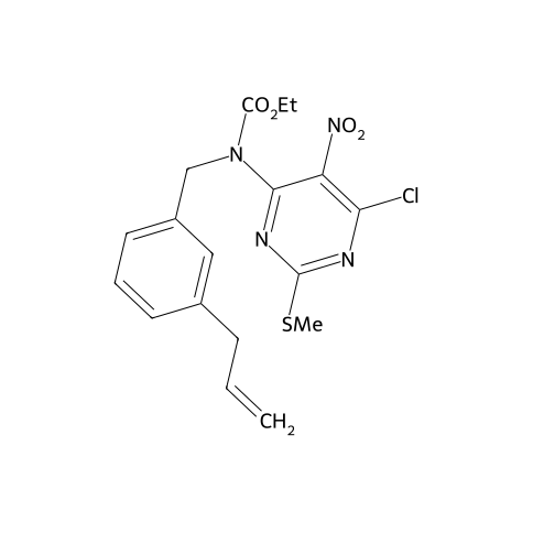 C=CCc1cccc(CN(C(=O)OCC)c2nc(SC)nc(Cl)c2[N+](=O)[O-])c1